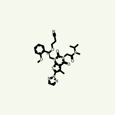 COc1ccccc1[C@H](Cn1c(=O)n(CC(=O)N(C)C(C)C)c(=O)c2c(C)c(-n3nccn3)sc21)OCCC#N